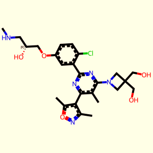 CNC[C@@H](O)COc1ccc(Cl)c(-c2nc(-c3c(C)noc3C)c(C)c(N3CC(CO)(CO)C3)n2)c1